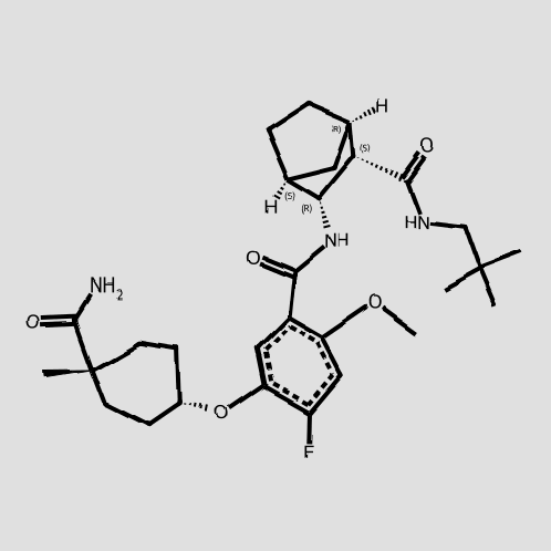 COc1cc(F)c(O[C@H]2CC[C@@](C)(C(N)=O)CC2)cc1C(=O)N[C@@H]1[C@H]2CC[C@H](C2)[C@@H]1C(=O)NCC(C)(C)C